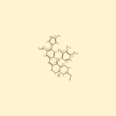 CCN1C[C@H]2CCC(=Cc3ccc(-n4cnc(C)c4)c(OC)c3)C(=O)N2[C@H](c2cc(F)c(F)c(F)c2)C1